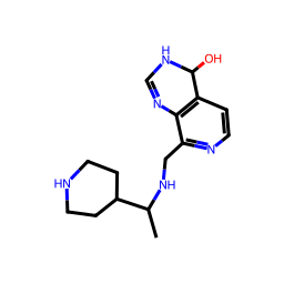 CC(NCc1nccc2c1N=CNC2O)C1CCNCC1